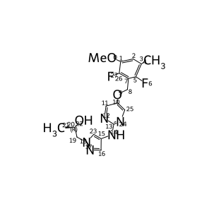 COc1cc(C)c(F)c(COc2cnc(Nc3cnn(C[C@@H](C)O)c3)nc2)c1F